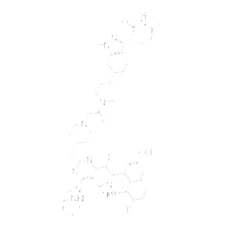 Cn1nc(C2CCC(=O)NC2=O)c2ccc(C3CCN(C(=O)CN4CCC(Oc5nc(N6CC7CCC(C6)N7)c6cnc(-c7cc(O)cc8ccc(F)c(C#N)c78)c(F)c6n5)CC4)CC3)cc21